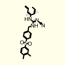 C=C/C=C(\C=C/C)N/C(=N/C#N)NCc1ccc(S(=O)(=O)c2ccc(C)c(C)c2)cc1